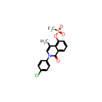 Cc1cn(-c2ccc(Cl)cc2)c(=O)c2cccc(OS(=O)(=O)C(F)(F)F)c12